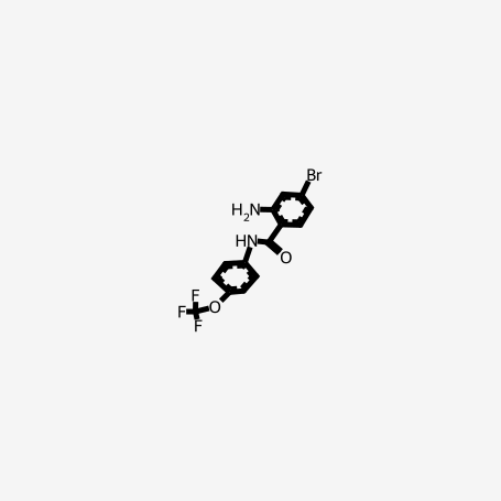 Nc1cc(Br)ccc1C(=O)Nc1ccc(OC(F)(F)F)cc1